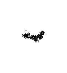 Cc1oc(-c2ccccc2)nc1COc1ccc(CCCC2OC(=O)NC2=O)cc1OC(C)C